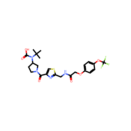 CC(C)(C)N(C(=O)O)C1CCN(C(=O)c2csc(CNC(=O)COc3ccc(OC(F)(F)F)cc3)n2)C1